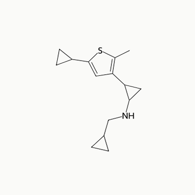 Cc1sc(C2CC2)cc1C1CC1NCC1CC1